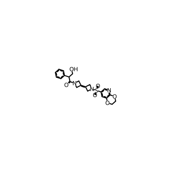 O=C(C(CO)c1ccccc1)N1CC(=C2CN(S(=O)(=O)c3cnc4c(c3)OCCO4)C2)C1